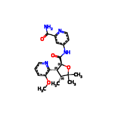 COc1cccnc1[C@@H]1[C@@H](C(=O)Nc2ccnc(C(N)=O)c2)OC(C)(C)[C@@H]1C